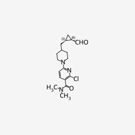 CN(C)C(=O)c1ccc(N2CCC(C[C@H]3C[C@H]3C=O)CC2)nc1Cl